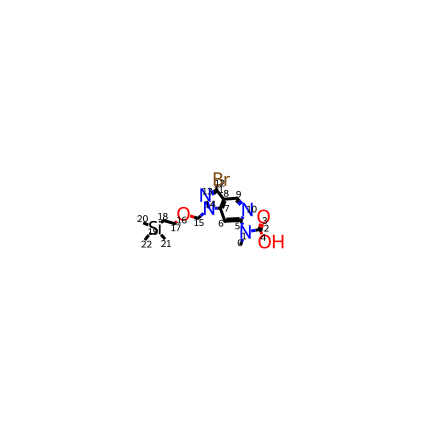 CN(C(=O)O)c1cc2c(cn1)c(Br)nn2COCC[Si](C)(C)C